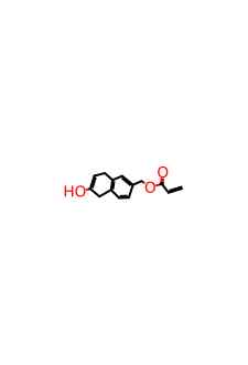 C=CC(=O)OCc1ccc2c(c1)CC=C(O)C2